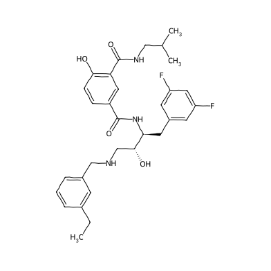 CCc1cccc(CNC[C@@H](O)[C@H](Cc2cc(F)cc(F)c2)NC(=O)c2ccc(O)c(C(=O)NCC(C)C)c2)c1